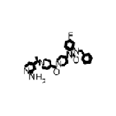 CC(c1ccnc(N)c1)N1CCC(C(=O)N2CCC(n3c(=O)n(Cc4ccccc4)c4cc(F)ccc43)CC2)CC1